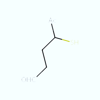 CC(=O)C(S)CCC=O